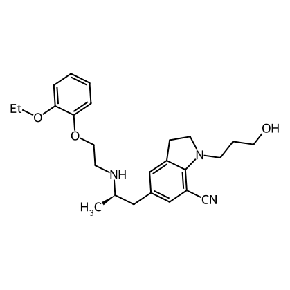 CCOc1ccccc1OCCN[C@H](C)Cc1cc(C#N)c2c(c1)CCN2CCCO